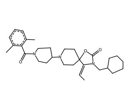 C/C=C1\N(CC2CCCCC2)C(=O)OC12CCN(C1CCN(C(=O)c3c(C)cccc3C)CC1)CC2